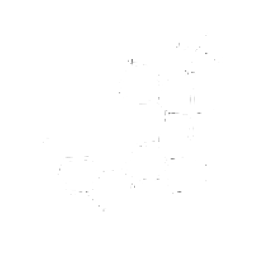 CS(=O)(=O)Nc1cnccc1N(c1cc(-c2cc(Cl)ccc2F)nc2ccccc12)S(C)(=O)=O